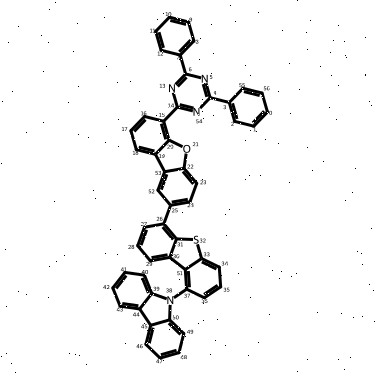 c1ccc(-c2nc(-c3ccccc3)nc(-c3cccc4c3oc3ccc(-c5cccc6c5sc5cccc(-n7c8ccccc8c8ccccc87)c56)cc34)n2)cc1